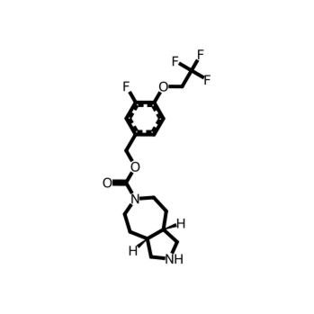 O=C(OCc1ccc(OCC(F)(F)F)c(F)c1)N1CC[C@@H]2CNC[C@@H]2CC1